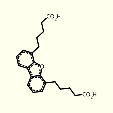 O=C(O)CCCCc1cccc2c1oc1c(CCCCC(=O)O)cccc12